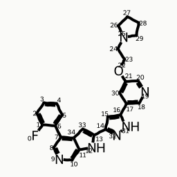 Fc1ccccc1-c1cncc2[nH]c(-c3cc(-c4cncc(OCCN5CCCC5)c4)[nH]n3)cc12